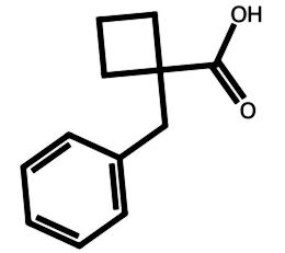 O=C(O)C1(Cc2ccccc2)CCC1